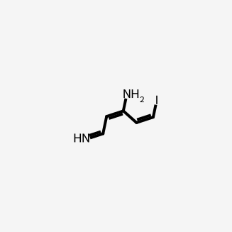 N=C/C=C(N)\C=C/I